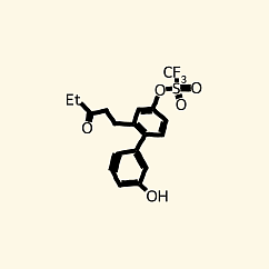 CCC(=O)CCc1cc(OS(=O)(=O)C(F)(F)F)ccc1-c1c#ccc(O)c1